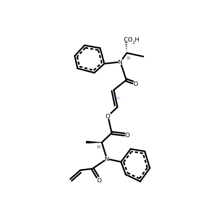 C=CC(=O)N(c1ccccc1)[C@@H](C)C(=O)O/C=C/C(=O)N(c1ccccc1)[C@@H](C)C(=O)O